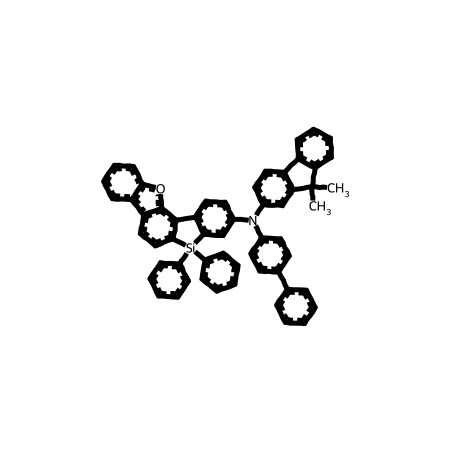 CC1(C)c2ccccc2-c2ccc(N(c3ccc(-c4ccccc4)cc3)c3ccc4c(c3)[Si](c3ccccc3)(c3ccccc3)c3ccc5c(oc6ccccc65)c3-4)cc21